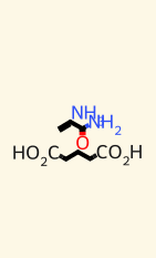 C=CC(N)=O.N.O=C(O)CCCC(=O)O